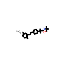 Cc1ccc(S(=O)(=O)O)cc1CCc1ccc(C(C)(C)C2=NC(C)(C)CO2)cc1